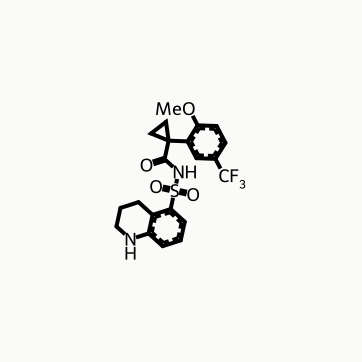 COc1ccc(C(F)(F)F)cc1C1(C(=O)NS(=O)(=O)c2cccc3c2CCCN3)CC1